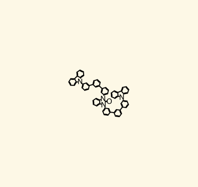 O=c1n(-c2cccc(-c3cccc(-c4cccc(-n5c6ccccc6c6ccccc65)c4)c3)c2)c2ccccc2n1-c1cccc(-c2cccc(-c3cccc(-n4c5ccccc5c5ccccc54)c3)c2)c1